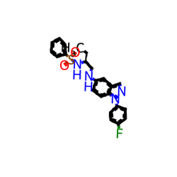 CC[C@@H](CNc1ccc2c(cnn2-c2ccc(F)cc2)c1)NS(=O)(=O)c1ccccc1